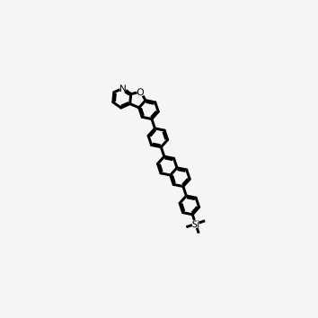 C[Si](C)(C)c1ccc(-c2ccc3cc(-c4ccc(-c5ccc6oc7ncccc7c6c5)cc4)ccc3c2)cc1